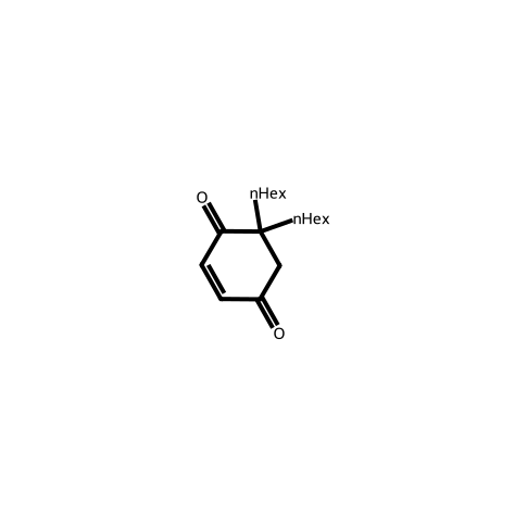 CCCCCCC1(CCCCCC)CC(=O)C=CC1=O